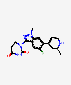 C[C@H]1CC(c2cc3c(cc2F)c(N2CCC(=O)NC2=O)nn3C)=CCN1